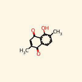 CC1=CC(=O)c2c(ccc(C)c2O)C1=O